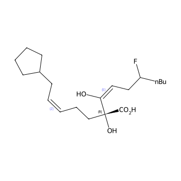 CCCCC(F)C/C=C(/O)[C@](O)(CC/C=C\CC1CCCC1)C(=O)O